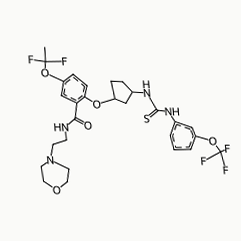 CC(F)(F)Oc1ccc(OC2CCC(NC(=S)Nc3cccc(OC(F)(F)F)c3)C2)c(C(=O)NCCN2CCOCC2)c1